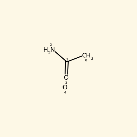 CC(N)=O.[O]